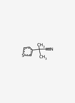 CC(C)(C#N)c1ccsc1